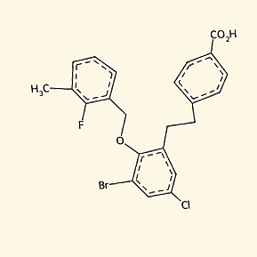 Cc1cccc(COc2c(Br)cc(Cl)cc2CCc2ccc(C(=O)O)cc2)c1F